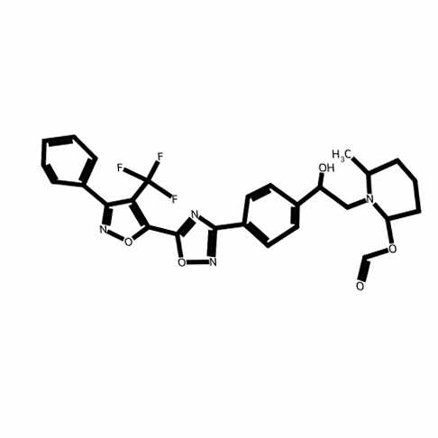 CC1CCCC(OC=O)N1CC(O)c1ccc(-c2noc(-c3onc(-c4ccccc4)c3C(F)(F)F)n2)cc1